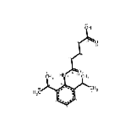 CC(C)c1cccc(C(C)C)c1NC(=O)CCCC(=O)O